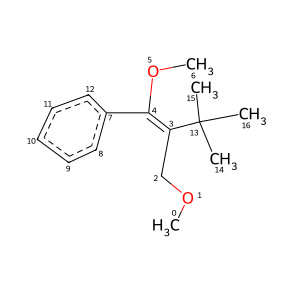 COCC(=C(OC)c1ccccc1)C(C)(C)C